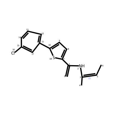 C=C(N/C(C)=C\C)c1ccc(-c2cccc(Cl)c2)s1